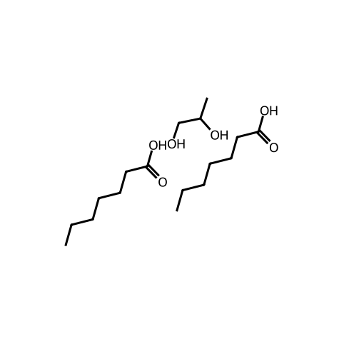 CC(O)CO.CCCCCCC(=O)O.CCCCCCC(=O)O